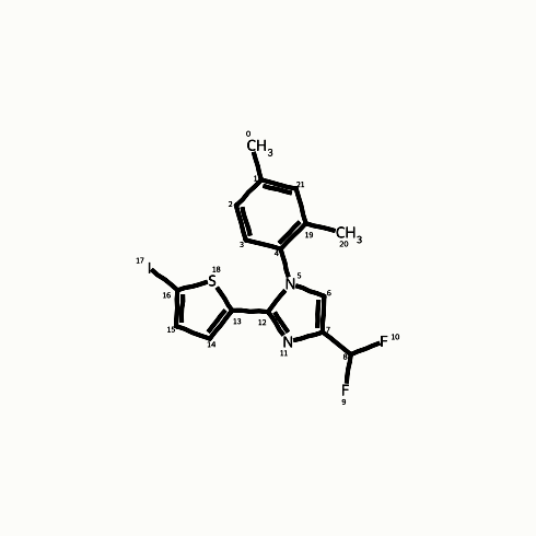 Cc1ccc(-n2cc(C(F)F)nc2-c2ccc(I)s2)c(C)c1